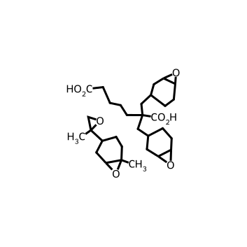 CC1(C2CCC3(C)OC3C2)CO1.O=C(O)CCCCC(CC1CCC2OC2C1)(CC1CCC2OC2C1)C(=O)O